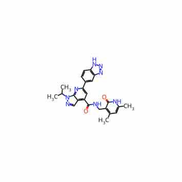 Cc1cc(C)c(CNC(=O)c2cc(-c3ccc4[nH]nnc4c3)nc3c2cnn3C(C)C)c(=O)[nH]1